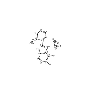 Cc1ccc2sc(-c3ccccc3O)nc2c1C.NC=O